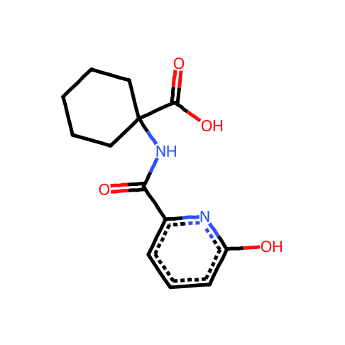 O=C(NC1(C(=O)O)CCCCC1)c1cccc(O)n1